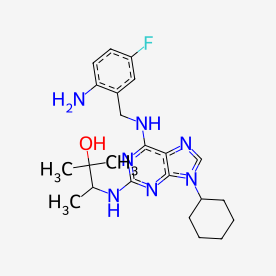 CC(Nc1nc(NCc2cc(F)ccc2N)c2ncn(C3CCCCC3)c2n1)C(C)(C)O